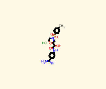 Cc1ccc(S(=O)(=O)N2CCOC(C(O)C(=O)Nc3ccc(C(=N)N)cc3)C2)cc1.Cl